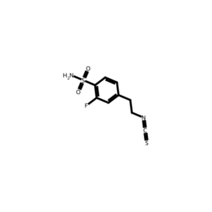 NS(=O)(=O)c1ccc(CCN=C=S)cc1F